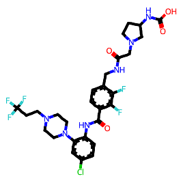 O=C(O)NC1CCN(CC(=O)NCc2ccc(C(=O)Nc3ccc(Cl)cc3N3CCN(CCC(F)(F)F)CC3)c(F)c2F)C1